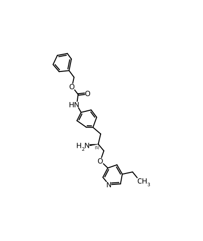 CCc1cncc(OC[C@@H](N)Cc2ccc(NC(=O)OCc3ccccc3)cc2)c1